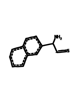 NC([C]=S)c1ccc2ccccc2c1